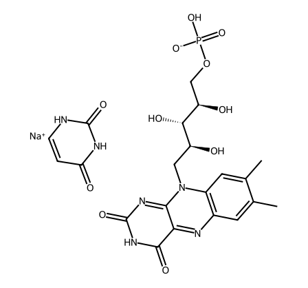 Cc1cc2nc3c(=O)[nH]c(=O)nc-3n(C[C@H](O)[C@H](O)[C@H](O)COP(=O)([O-])O)c2cc1C.O=c1cc[nH]c(=O)[nH]1.[Na+]